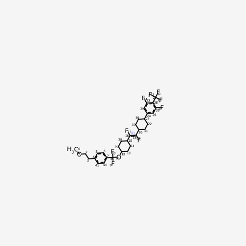 COCCc1ccc(C(F)(F)OC2CCC(/C(F)=C(\F)C3CCC(c4cc(F)c(C(F)(F)F)c(F)c4)CC3)CC2)cc1